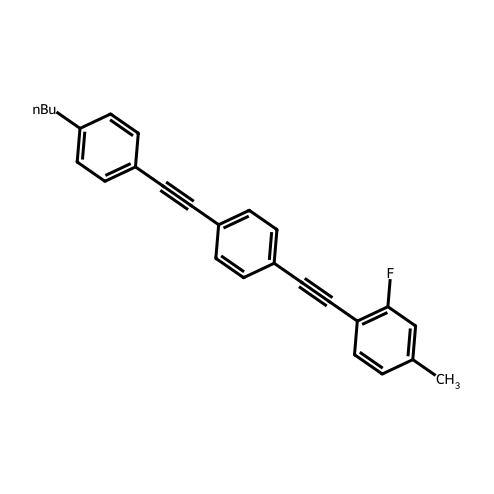 CCCCc1ccc(C#Cc2ccc(C#Cc3ccc(C)cc3F)cc2)cc1